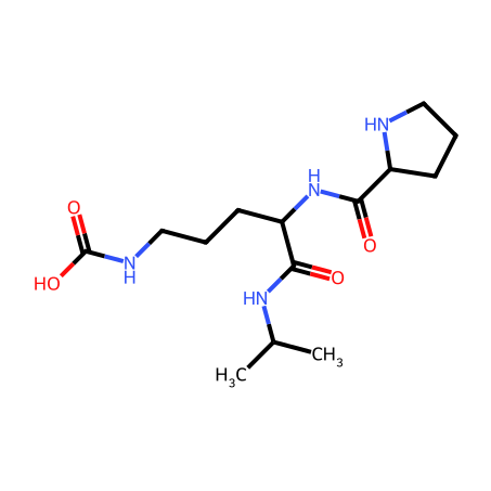 CC(C)NC(=O)C(CCCNC(=O)O)NC(=O)C1CCCN1